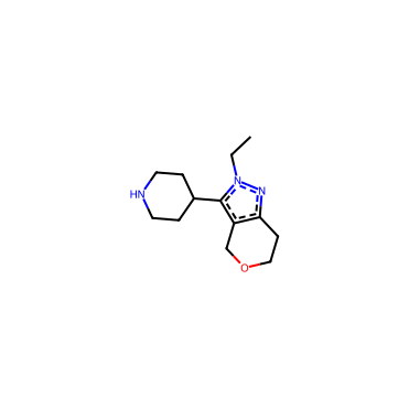 CCn1nc2c(c1C1CCNCC1)COCC2